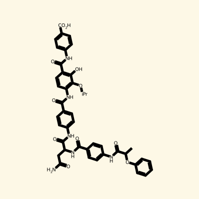 CC(C)Oc1c(NC(=O)c2ccc(NC(=O)C(CC(N)=O)NC(=O)c3ccc(NC(=O)C(C)Oc4ccccc4)cc3)cc2)ccc(C(=O)Nc2ccc(C(=O)O)cc2)c1O